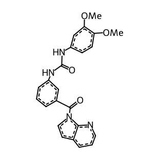 COc1ccc(NC(=O)Nc2cccc(C(=O)n3ccc4cccnc43)c2)cc1OC